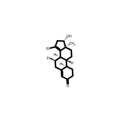 CCC1=C2[C@@H]3[C@H](CC)CC4=CC(=O)CC[C@@H]4[C@H]3CC[C@]2(C)[C@@H](O)C1